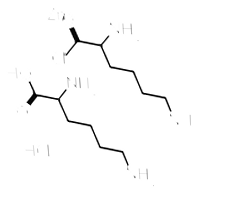 Cl.NCCCCC(N)C(=O)Cl.NCCCCC(N)C(=O)O.[Zn]